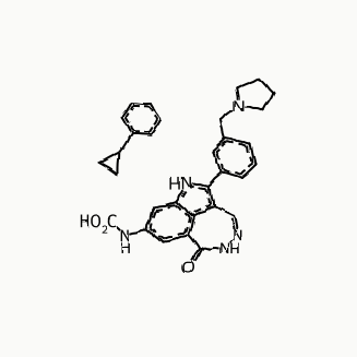 O=C(O)Nc1cc2c3c(c(-c4cccc(CN5CCCC5)c4)[nH]c3c1)C=NNC2=O.c1ccc(C2CC2)cc1